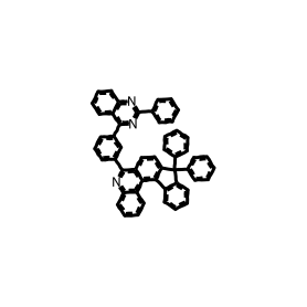 c1ccc(-c2nc(-c3cccc(-c4nc5ccccc5c5c6c(ccc45)C(c4ccccc4)(c4ccccc4)c4ccccc4-6)c3)c3ccccc3n2)cc1